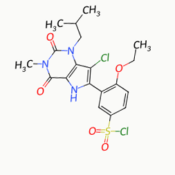 CCOc1ccc(S(=O)(=O)Cl)cc1-c1[nH]c2c(=O)n(C)c(=O)n(CC(C)C)c2c1Cl